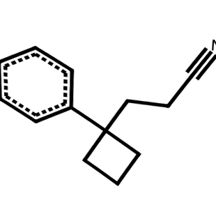 N#CCCC1(c2ccccc2)CCC1